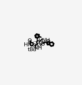 CC(C)(C)NC(=O)C(=O)[C@H](C[C@@H]1CCNC1=O)NC(=O)[C@H](Cc1ccccc1)NC(=O)c1cc2ccccc2o1